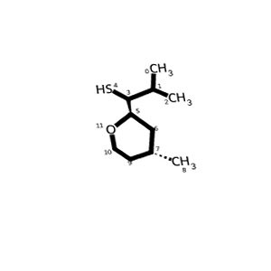 CC(C)C(S)[C@H]1C[C@H](C)CCO1